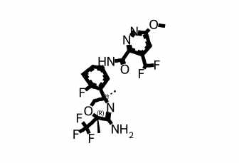 COc1cc(C(F)F)c(C(=O)Nc2ccc(F)c([C@]3(C)CO[C@@](C)(C(F)(F)F)C(N)=N3)c2)nn1